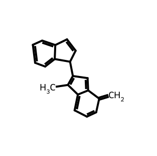 C=c1cccc2c1=CC(C1C=Cc3ccccc31)=C2C